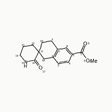 COC(=O)c1ccc2c(c1)CCC1(CCCNC1=O)C2